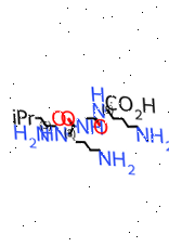 CC(C)C[C@H](N)C(=O)N[C@@H](CCCCN)C(=O)NCC(=O)N[C@@H](CCCCN)C(=O)O